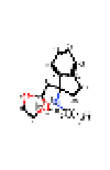 CN(C(=O)O)C1(CC2OCCO2)CCc2ccccc21